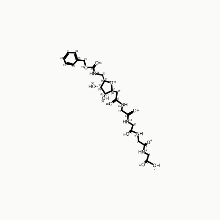 O=C(O)CNC(=O)CNC(=O)CNC(=O)CNC(=O)C[C@@H]1O[C@H](CNC(=O)OCc2ccccc2)[C@@H](O)[C@H]1O